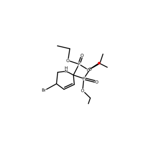 CCOP(=O)(OCC)C1(P(=O)(OCC)OCC)C=CC(Br)CN1